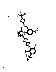 Fc1ccc(C(F)(F)F)c(F)c1N1CC2(CC(c3nnc4n3-c3ccc(Cl)cc3CN(C3CC(C(F)(F)F)C3)C4)C2)C1